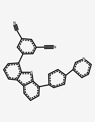 N#Cc1cc(C#N)cc(-c2cccc3c2sc2c(-c4ccc(-c5cccnc5)cc4)cccc23)c1